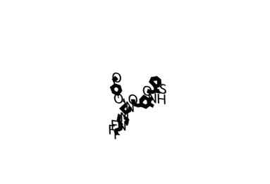 Cc1cc(CC(=O)N2C[C@@H](N3CCN(CC(F)(F)F)CC3)C[C@H]2CO[C@H]2CC[C@H](C=O)CC2)ccc1NC(=O)c1csc2ccccc12